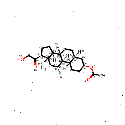 CC(=O)O[C@H]1CC[C@H]2[C@@H](CC[C@@H]3[C@@H]2[C@H](F)C[C@]2(C)[C@@H](C(=O)CO)CC[C@@H]32)C1